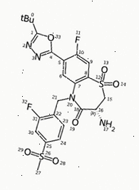 CC(C)(C)c1nnc(-c2cc3c(cc2F)S(=O)(=O)C[C@H](N)C(=O)N3Cc2ccc(S(C)(=O)=O)cc2F)o1